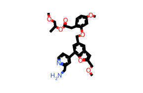 COCc1cc2cc(COc3cc(OC)ccc3CC(=O)OC(C)COC)cc(-c3ccnc(CN)c3)c2o1